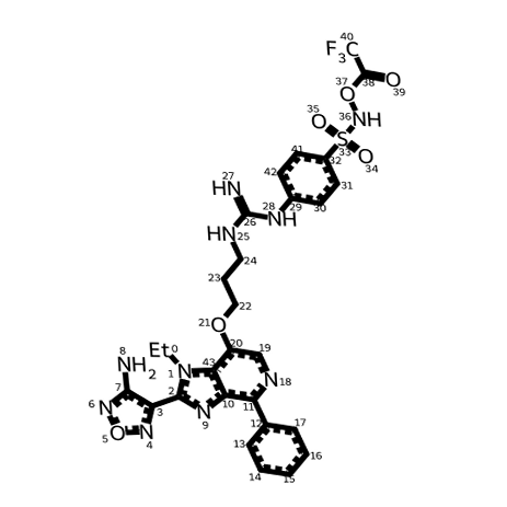 CCn1c(-c2nonc2N)nc2c(-c3ccccc3)ncc(OCCCNC(=N)Nc3ccc(S(=O)(=O)NOC(=O)C(F)(F)F)cc3)c21